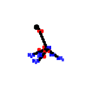 NCCCNCCCOCC(COCCC(=O)NCCCN)(COCCC(=O)NCCCN)NC(=O)CCCCCCCCCCC(=O)OCc1ccccc1